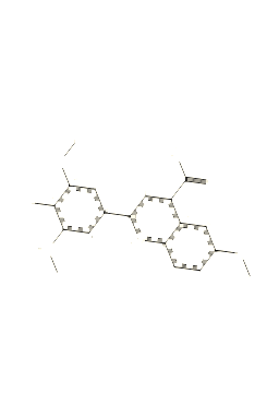 COc1ccc2nc(-c3cc(OC)c(O)c(OC)c3)cc(C(=O)O)c2c1